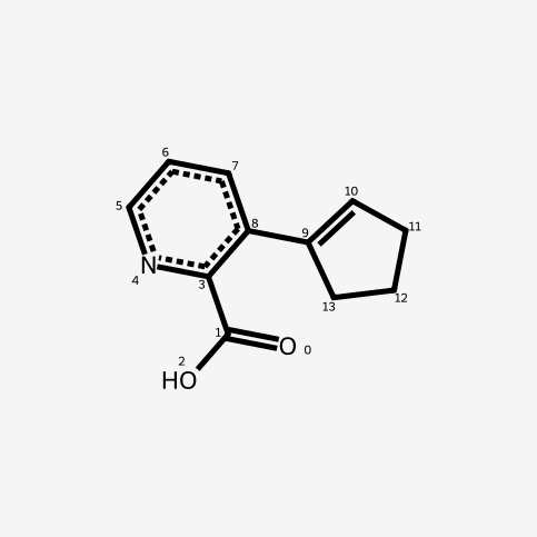 O=C(O)c1ncccc1C1=CCCC1